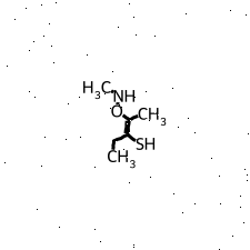 CC/C(S)=C(/C)ONC